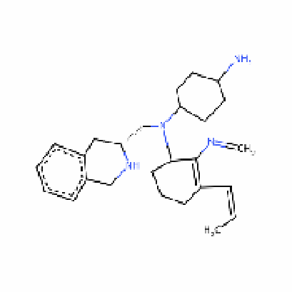 C=NC1=C(/C=C\C)CCCC1N(C[C@H]1Cc2ccccc2CN1)C1CCC(N)CC1